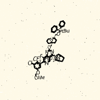 COCOc1cc(Cl)c(C(F)(F)F)c(-c2ncc3c(N4CC5CCC(C4)N5C(=O)O)nc(OC[C@]45CCCN4[C@H](CO[Si](c4ccccc4)(c4ccccc4)C(C)(C)C)CC5)nc3c2F)c1